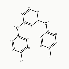 Cc1ccc(OC2=CC(Oc3ccc(C)cc3)CC=C2)cc1